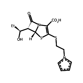 CC[C@H](O)[C@@H]1C(=O)N2C(C(=O)O)=C(SCCn3cccc3)S[C@H]12